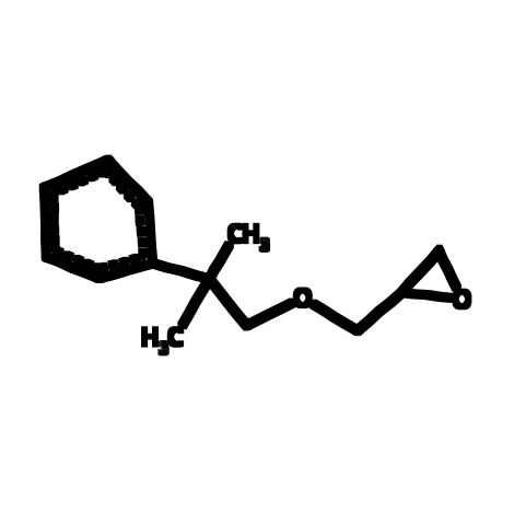 CC(C)(COCC1CO1)c1ccccc1